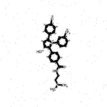 CN(C)CCNC(=O)c1ccc(-c2ccc(-c3ccc(Cl)cc3)n2-c2cccc(C(F)(F)F)c2)cc1.Cl